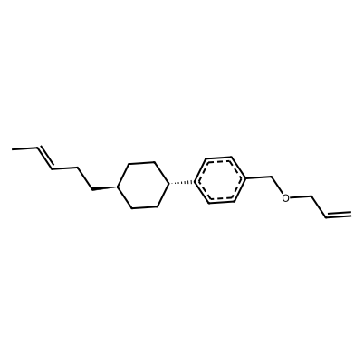 C=CCOCc1ccc([C@H]2CC[C@H](CCC=CC)CC2)cc1